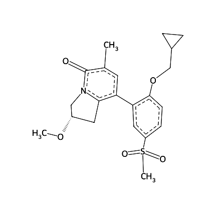 CO[C@H]1Cc2c(-c3cc(S(C)(=O)=O)ccc3OCC3CC3)cc(C)c(=O)n2C1